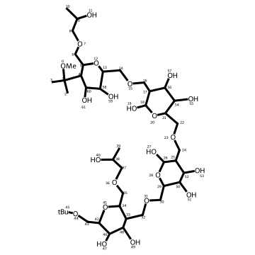 COC(C)(C)C1C(COCC(C)O)OC(COCC2C(O)OC(COCC3C(O)OC(COCC4C(COCC(C)O)OC(COC(C)(C)C)C(O)C4O)C(O)C3O)C(O)C2O)C(O)C1O